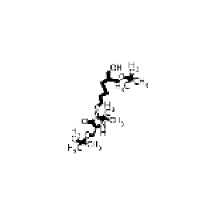 CC(C)(C)OCC(CO)CCCCSN1C(=O)[C@H](COC(C)(C)C)NC1(C)C